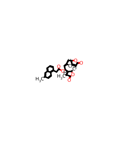 C=C1C(=O)OC2CC3=C[C@@H](C/C(C)=C/C(OC(=O)Cc4cccc5cc(C)ccc45)[C@H]12)OC3=O